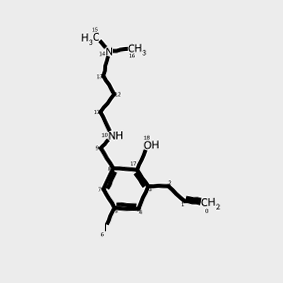 C=CCc1cc(I)cc(CNCCCN(C)C)c1O